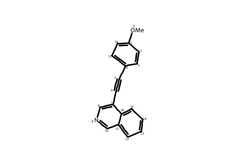 COc1ccc(C#Cc2cncc3ccccc23)cc1